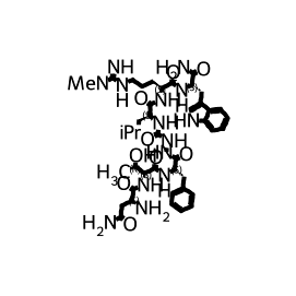 CNC(=N)NCCC[C@H](NC(=O)[C@H](CC(C)C)NC(=O)NNC(=O)[C@H](Cc1ccccc1)NC(=O)[C@@H](NC(=O)[C@@H](N)CC(N)=O)[C@@H](C)O)C(=O)N[C@@H](Cc1c[nH]c2ccccc12)C(N)=O